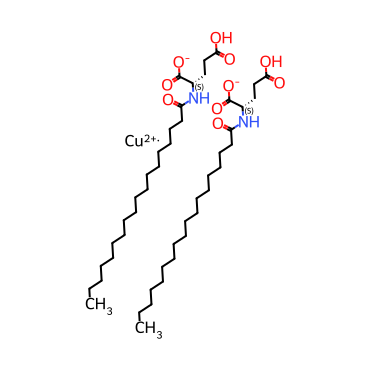 CCCCCCCCCCCCCCCCCC(=O)N[C@@H](CCC(=O)O)C(=O)[O-].CCCCCCCCCCCCCCCCCC(=O)N[C@@H](CCC(=O)O)C(=O)[O-].[Cu+2]